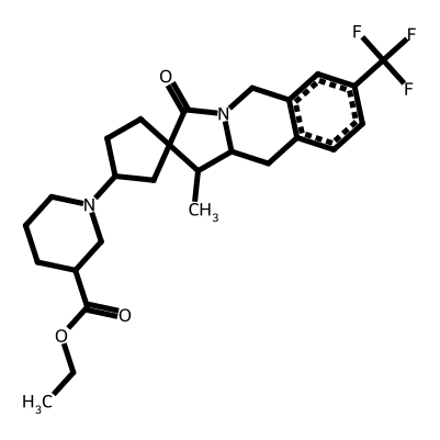 CCOC(=O)C1CCCN(C2CCC3(C2)C(=O)N2Cc4cc(C(F)(F)F)ccc4CC2C3C)C1